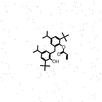 C=CC(=O)Oc1c(Cc2cc(C(C)C)cc(C(C)(C)C)c2O)cc(C(C)C)cc1C(C)(C)C